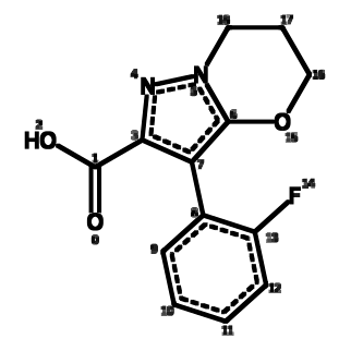 O=C(O)c1nn2c(c1-c1ccccc1F)OCCC2